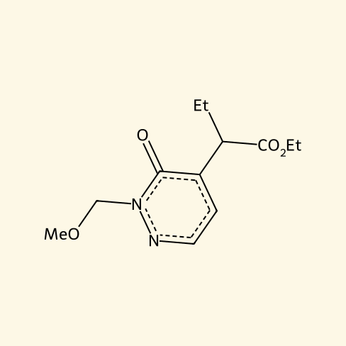 CCOC(=O)C(CC)c1ccnn(COC)c1=O